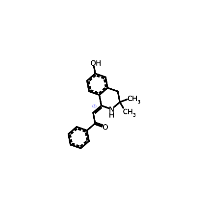 CC1(C)Cc2cc(O)ccc2/C(=C/C(=O)c2ccccc2)N1